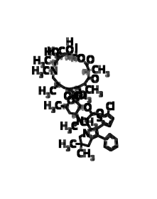 CC1C(=O)[C@@H](C)C(=O)O[C@H](I)[C@@](C)(O)[C@H](O)[C@@H](C)N(C)C[C@H](C)C[C@@](C)(O)[C@@H]1O[C@@H]1O[C@H](C)C[C@H](N(C)C)[C@H]1OC(=O)Cc1c(-c2ccc(Cl)s2)c(-c2ccccc2)c2n1CC(C)(C)C2